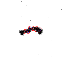 O=C(CCCN1C(=O)c2ccc3c4c(ccc(c24)C1=O)C(=O)N(CCCC(=O)Oc1cccc(N(c2ccccc2)c2ccccc2)c1)C3=O)Oc1ccc(N2C(=O)c3ccc4c5c(ccc(c35)C2=O)C(=O)N(c2cccc3cc5ccccc5cc23)C4=O)cc1